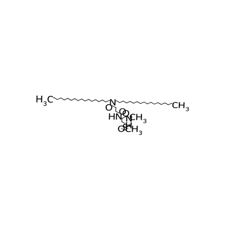 CCCCCCCCCCCCCCCCCCN(CCCCCCCCCCCCCCCCCC)C(=O)CCC(=O)NC(CC[S+](C)[O-])C(=O)NC